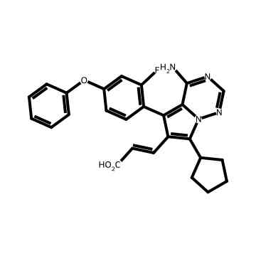 Nc1ncnn2c(C3CCCC3)c(C=CC(=O)O)c(-c3ccc(Oc4ccccc4)cc3F)c12